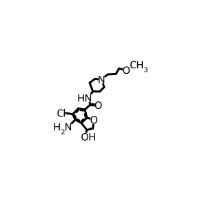 COCCCN1CCC(NC(=O)c2cc(Cl)c(N)c3c2OCC3O)CC1